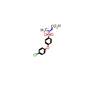 CN(CC(=O)O)S(=O)(=O)c1ccc(Oc2ccc(Cl)cc2)cc1